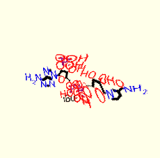 CC[C@H](C)O.NC(=O)c1ccc[n+]([C@@H]2O[C@H](COP(=O)([O-])OP(=O)(O)OC[C@H]3O[C@@H](n4cnc5c(N)ncnc54)[C@H](OP(=O)(O)O)[C@@H]3O)[C@@H](O)[C@H]2O)c1